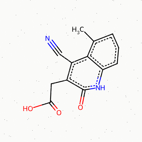 Cc1cccc2[nH]c(=O)c(CC(=O)O)c(C#N)c12